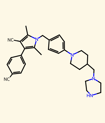 Cc1c(C#N)c(-c2ccc(C#N)cc2)c(C)n1Cc1ccc(N2CCC(CN3CCNCC3)CC2)cc1